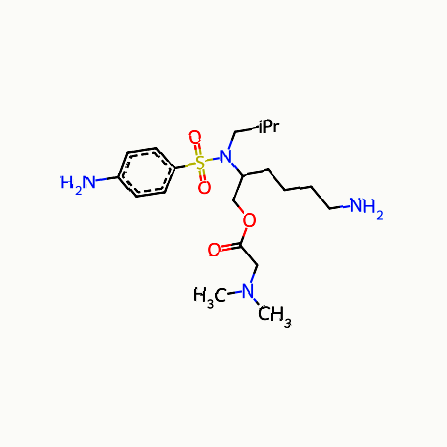 CC(C)CN(C(CCCCN)COC(=O)CN(C)C)S(=O)(=O)c1ccc(N)cc1